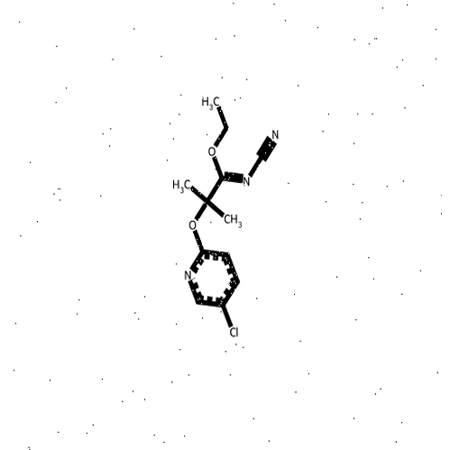 CCOC(=NC#N)C(C)(C)Oc1ccc(Cl)cn1